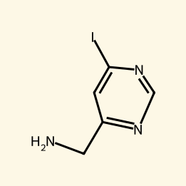 NCc1cc(I)ncn1